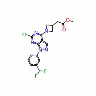 COC(=O)CC1CN(c2nc(Cl)nc3c2cnn3-c2cccc(C(F)F)c2)C1